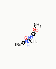 C=CCOC(=O)c1ccc(N=Nc2c(C)[nH]n(-c3ccc(C(C)(C)C)cc3)c2=O)cc1